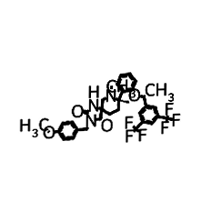 COc1ccc(CN2C(=O)NC3(CC[C@@](CO[C@H](C)c4cc(C(F)(F)F)cc(C(F)(F)F)c4)(c4ccccc4)N(C)C3)C2=O)cc1